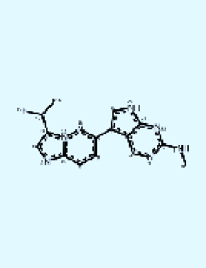 CNc1ncc2c(-c3ccc4ncc(C(F)F)n4n3)c[nH]c2n1